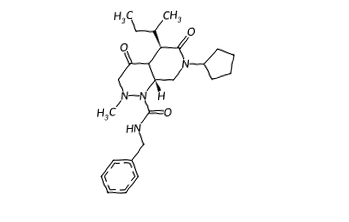 CCC(C)[C@H]1C(=O)N(C2CCCC2)C[C@H]2C1C(=O)CN(C)N2C(=O)NCc1ccccc1